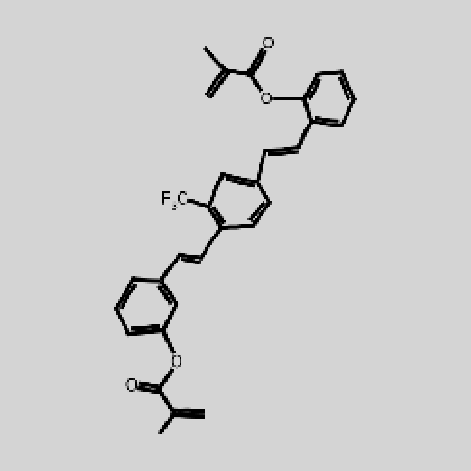 C=C(C)C(=O)Oc1cccc(/C=C/c2ccc(/C=C/c3ccccc3OC(=O)C(=C)C)cc2C(F)(F)F)c1